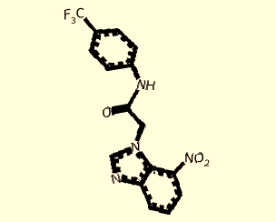 O=C(Cn1cnc2cccc([N+](=O)[O-])c21)Nc1ccc(C(F)(F)F)cc1